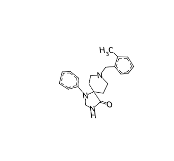 Cc1ccccc1CN1CCC2(CC1)C(=O)NCN2c1ccccc1